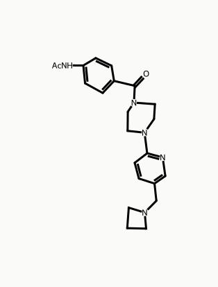 CC(=O)Nc1ccc(C(=O)N2CCN(c3ccc(CN4CCC4)cn3)CC2)cc1